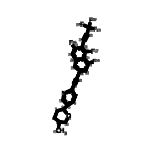 CC1CCC(c2ccc(C#Cc3cc(F)c4c(F)c(C#CC(F)(F)F)c(F)cc4c3)nc2)OC1